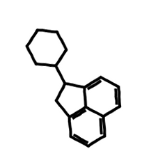 c1cc2c3c(cccc3c1)C(C1CCCCC1)C2